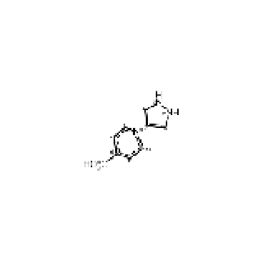 C1=CNNC1.O=C(O)c1ccncc1